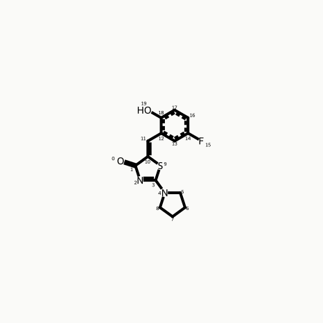 O=C1N=C(N2CCCC2)S/C1=C\c1cc(F)ccc1O